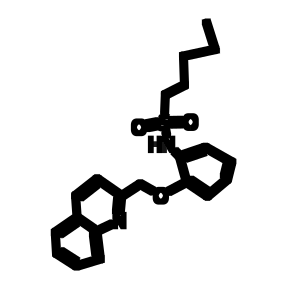 CCCCCS(=O)(=O)Nc1ccccc1OCc1ccc2ccccc2n1